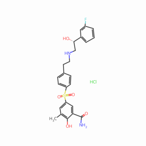 Cc1cc(S(=O)(=O)c2ccc(CCNC[C@H](O)c3cccc(F)c3)cc2)cc(C(N)=O)c1O.Cl